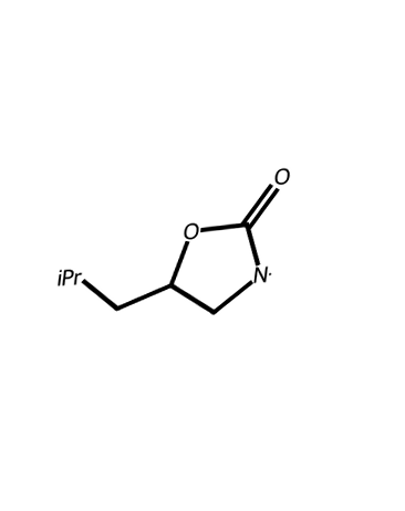 CC(C)CC1C[N]C(=O)O1